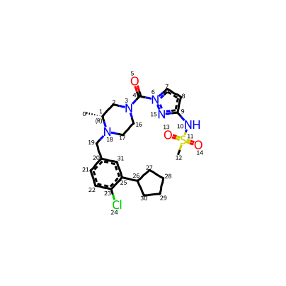 C[C@@H]1CN(C(=O)n2ccc(NS(C)(=O)=O)n2)CCN1Cc1ccc(Cl)c(C2CCCC2)c1